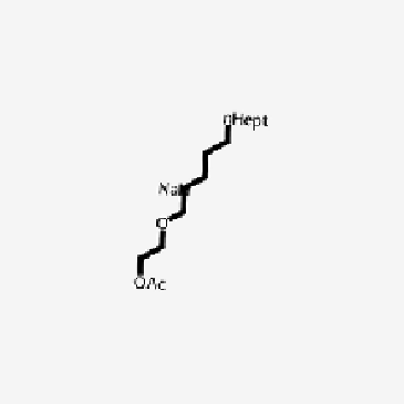 CCCCCCCCCCCCOCCOC(C)=O.[NaH]